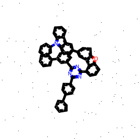 c1ccc(-c2ccc(-c3nc(-c4cccc(-c5ccccc5)c4)nc(-c4cccc5oc6ccc(-c7ccc8c(c7)c7ccccc7n8-c7ccccc7)cc6c45)n3)cc2)cc1